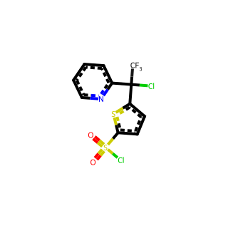 O=S(=O)(Cl)c1ccc(C(Cl)(c2ccccn2)C(F)(F)F)s1